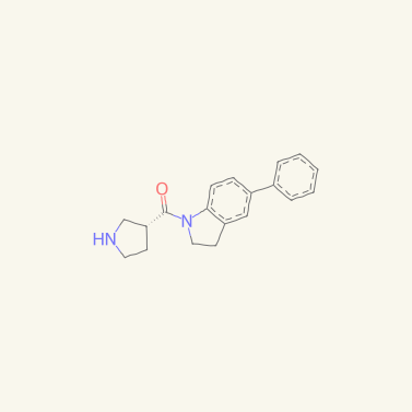 O=C([C@@H]1CCNC1)N1CCc2cc(-c3ccccc3)ccc21